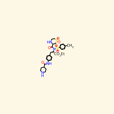 CCOC(=O)[C@H](Cc1ccc(NC(=O)C2CCNCC2)cc1)N(C(=O)C1CS(=O)(=O)CCN1)S(=O)(=O)c1ccc(C)cc1